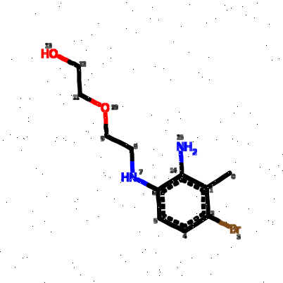 Cc1c(Br)ccc(NCCOCCO)c1N